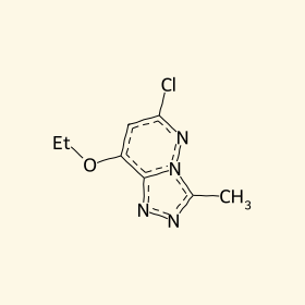 CCOc1cc(Cl)nn2c(C)nnc12